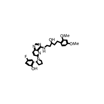 COc1ccc(CCC(O)CCNc2ncnc3ccc(N4CCC[C@@H]4c4cc(F)ccc4O)nc23)c(OC)c1